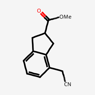 COC(=O)C1Cc2cccc(CC#N)c2C1